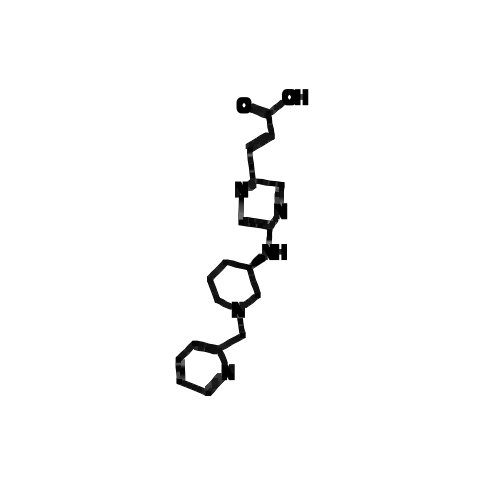 O=C(O)/C=C/c1cnc(N[C@@H]2CCCN(Cc3ccccn3)C2)cn1